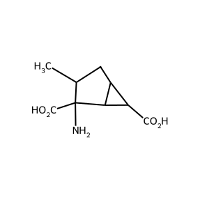 CC1CC2C(C(=O)O)C2C1(N)C(=O)O